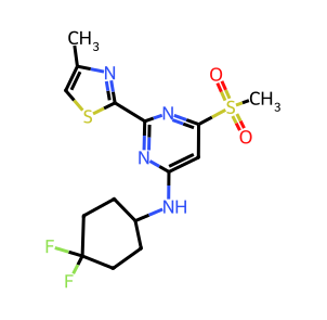 Cc1csc(-c2nc(NC3CCC(F)(F)CC3)cc(S(C)(=O)=O)n2)n1